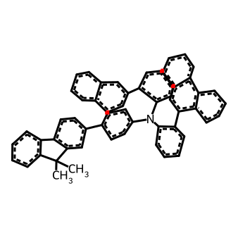 CC1(C)c2ccccc2-c2ccc(-c3ccc(N(c4ccccc4-c4ccc5ccccc5c4)c4ccccc4-c4cc5ccccc5c5ccccc45)cc3)cc21